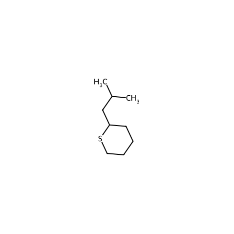 CC(C)CC1CCCCS1